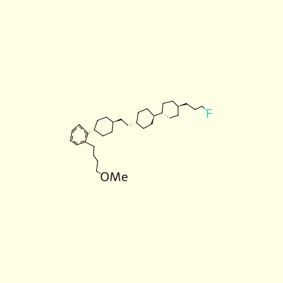 COCCCCc1ccccc1[C@H]1CC[C@H](CC[C@H]2CC[C@H]([C@H]3CC[C@H](CCCF)CC3)CC2)CC1